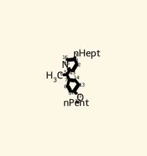 CCCCCCCc1ccc(C(C)c2ccc(OCCCCC)cc2)nc1